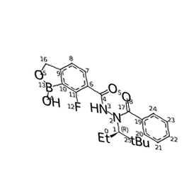 CC[C@@H](N(NC(=O)c1ccc2c(c1F)B(O)OC2)C(=O)c1ccccc1)C(C)(C)C